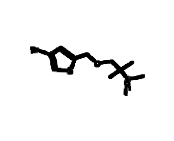 C[SiH](C)C(C)(C)COCc1cc(Br)cs1